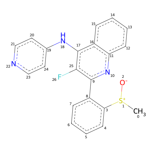 C[S+]([O-])c1ccccc1-c1nc2ccccc2c(Nc2ccncc2)c1F